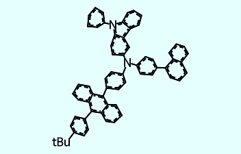 CC(C)(C)c1ccc(-c2c3ccccc3c(-c3ccc(N(c4ccc(-c5cccc6ccccc56)cc4)c4ccc5c(c4)c4ccccc4n5-c4ccccc4)cc3)c3ccccc23)cc1